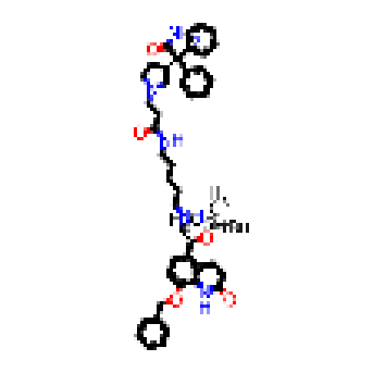 CC(C)(C)[Si](C)(C)O[C@H](CNCCCCCNC(=O)CCN1CC[C@@H](C(C(N)=O)(c2ccccc2)c2ccccc2)C1)c1ccc(OCc2ccccc2)c2[nH]c(=O)ccc12